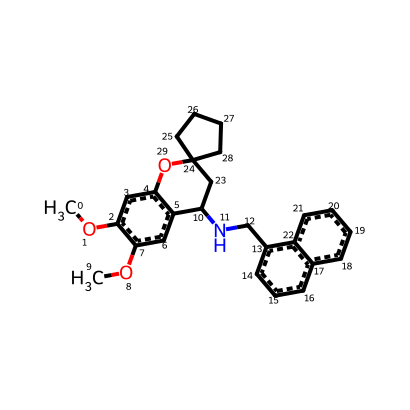 COc1cc2c(cc1OC)C(NCc1cccc3ccccc13)CC1(CCCC1)O2